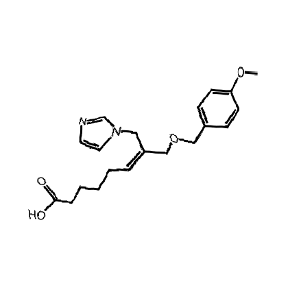 COc1ccc(COCC(=CCCCCC(=O)O)Cn2ccnc2)cc1